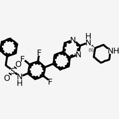 O=S(=O)(Cc1ccccc1)Nc1cc(F)c(-c2ccc3nc(N[C@H]4CCCNC4)ncc3c2)c(F)c1F